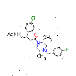 CC(=O)NCC(CC(=O)N1CC(C)N(Cc2ccc(F)cc2)CC1C)c1ccc(Cl)cc1